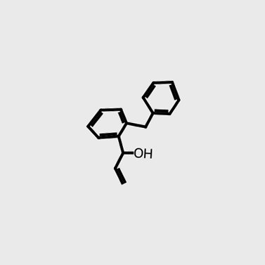 C=CC(O)c1ccccc1Cc1ccccc1